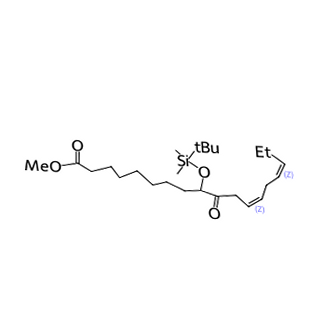 CC/C=C\C/C=C\CC(=O)C(CCCCCCCC(=O)OC)O[Si](C)(C)C(C)(C)C